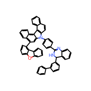 c1ccc(-c2cccc(C3NC(c4ccc(-n5c6ccc7ccccc7c6c6c7ccccc7c(-c7cccc8oc9ccccc9c78)cc65)cc4)=Nc4ccccc43)c2)cc1